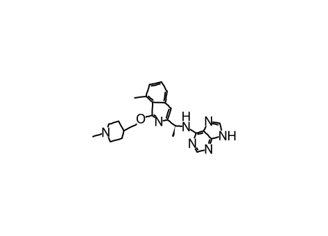 Cc1cccc2cc([C@H](C)Nc3ncnc4[nH]cnc34)nc(OCC3CCN(C)CC3)c12